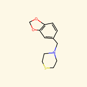 c1cc2c(cc1CN1CCSCC1)OCO2